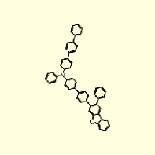 c1ccc(-c2ccc(-c3ccc(N(c4ccccc4)c4ccc(-c5ccc(-c6cc7oc8ccccc8c7cc6-c6ccccc6)cc5)cc4)cc3)cc2)cc1